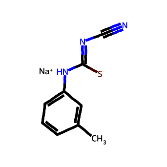 Cc1cccc(N/C([S-])=N/C#N)c1.[Na+]